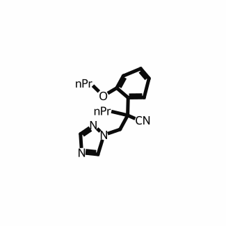 CCCOc1ccccc1C(C#N)(CCC)Cn1cncn1